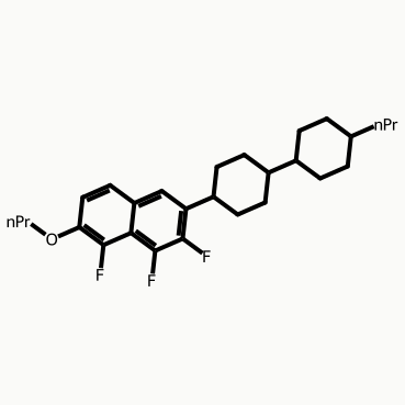 CCCOc1ccc2cc(C3CCC(C4CCC(CCC)CC4)CC3)c(F)c(F)c2c1F